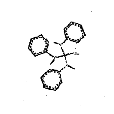 CP(c1ccccc1)C(P(C)c1ccccc1)(P(C)c1ccccc1)C(C)(C)C